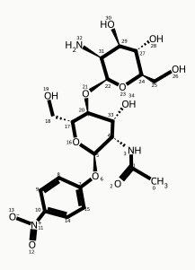 CC(=O)N[C@@H]1[C@@H](Oc2ccc([N+](=O)[O-])cc2)O[C@H](CO)[C@@H](O[C@@H]2O[C@H](CO)[C@@H](O)[C@H](O)[C@@H]2N)[C@@H]1O